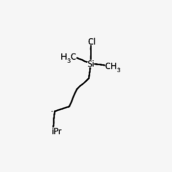 CC(C)[CH]CCC[Si](C)(C)Cl